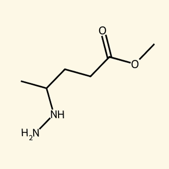 COC(=O)CCC(C)NN